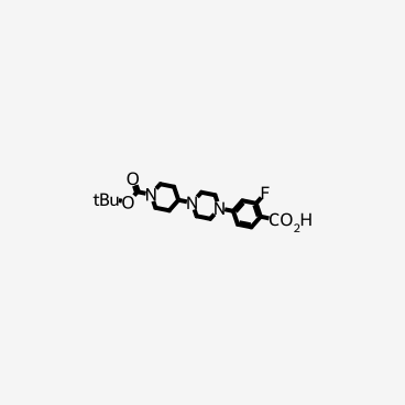 CC(C)(C)OC(=O)N1CCC(N2CCN(c3ccc(C(=O)O)c(F)c3)CC2)CC1